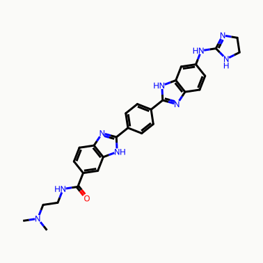 CN(C)CCNC(=O)c1ccc2nc(-c3ccc(-c4nc5ccc(NC6=NCCN6)cc5[nH]4)cc3)[nH]c2c1